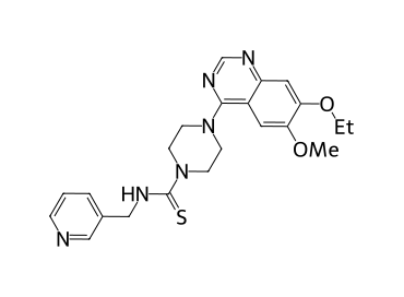 CCOc1cc2ncnc(N3CCN(C(=S)NCc4cccnc4)CC3)c2cc1OC